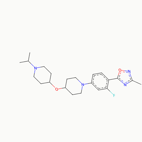 Cc1noc(-c2ccc(N3CCC(OC4CCN(C(C)C)CC4)CC3)cc2F)n1